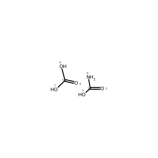 NC(=O)O.O=C(O)O